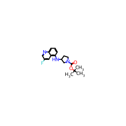 CC(C)(C)OC(=O)N1CCC(Nc2cccc3ncc(F)cc23)C1